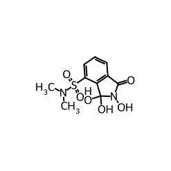 CN(C)S(=O)(=O)c1cccc2c1C(O)(O)N(O)C2=O